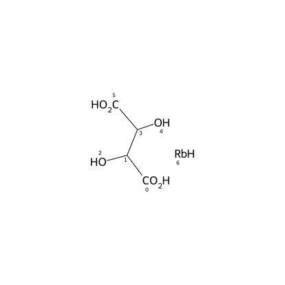 O=C(O)C(O)C(O)C(=O)O.[RbH]